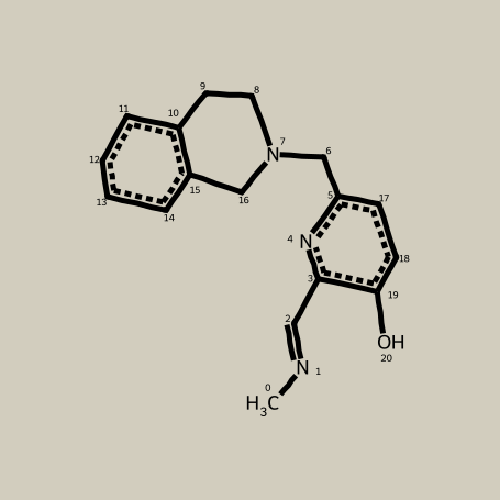 C/N=C/c1nc(CN2CCc3ccccc3C2)ccc1O